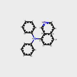 c1ccc(N(c2ccccc2)c2cccc3ccncc23)cc1